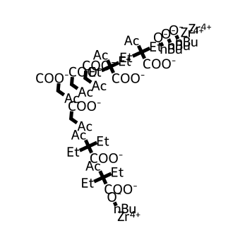 CC(=O)CC(=O)[O-].CC(=O)CC(=O)[O-].CC(=O)CC(=O)[O-].CC(=O)CC(=O)[O-].CCC(CC)(C(C)=O)C(=O)[O-].CCC(CC)(C(C)=O)C(=O)[O-].CCC(CC)(C(C)=O)C(=O)[O-].CCC(CC)(C(C)=O)C(=O)[O-].CCCC[O-].CCCC[O-].CCCC[O-].CCCC[O-].[Zr+4].[Zr+4].[Zr+4]